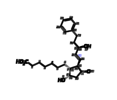 O=C(O)CCCCCC[C@H]1[C@@H](O)CC(=O)[C@@H]1/C=C/[C@H](O)CCc1ccccc1